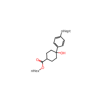 CCCCCCCc1ccc(C2(O)CCC(C(=O)OCCCCCC)CC2)cc1